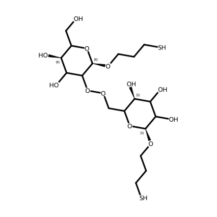 OCC1O[C@@H](OCCCS)C(OOCC2O[C@H](OCCCS)C(O)C(O)[C@@H]2O)C(O)[C@H]1O